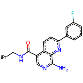 CC(C)CNC(=O)c1cnc(N)c2nc(-c3cccc(F)c3)ccc12